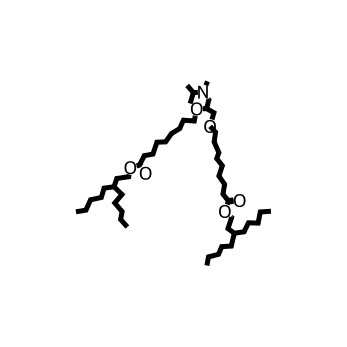 CCCCCC(CCCCC)CCOC(=O)CCCCCCCCOCC(CN(C)C(C)C)OCCCCCCCCC(=O)OCCC(CCCCC)CCCCC